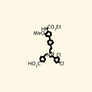 CCOC(=O)Nc1ccc(-c2ccc(C=Cc3nc(-c4ccc(Cl)cc4Cl)cn3Cc3ccc(C(=O)O)cc3)cc2)cc1OC